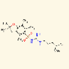 CN[C@@H](CCCNC(=N)NS(=O)(=O)c1c(C)c(C)c2c(c1C)CC(C)(C)O2)C(C)=O